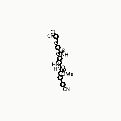 COC(=O)C(Cc1ccc(-c2ccc(C#N)cc2)cc1)NC(=O)C1Cc2cc3c(cc2CN1)OC(c1ccc(OCc2ccc(Cl)c(Cl)c2)cc1)C(=O)N3